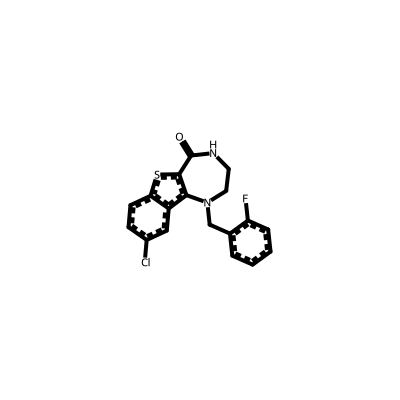 O=C1NCCN(Cc2ccccc2F)c2c1sc1ccc(Cl)cc21